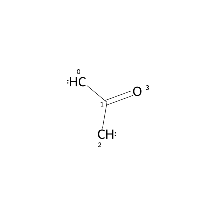 [CH]C([CH])=O